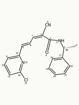 C[C@@H](NC(=O)C(C#N)=CC=Cc1cccc(Cl)n1)c1ccccc1